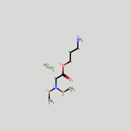 CSN(CC(=O)OCCCN)SC.Cl.Cl